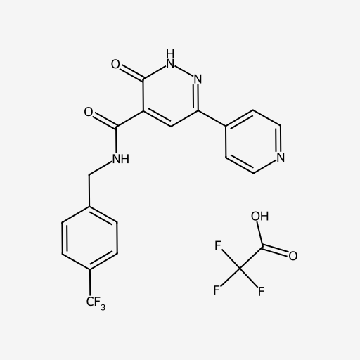 O=C(NCc1ccc(C(F)(F)F)cc1)c1cc(-c2ccncc2)n[nH]c1=O.O=C(O)C(F)(F)F